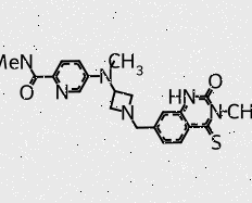 CNC(=O)c1ccc(N(C)C2CN(Cc3ccc4c(=S)n(C)c(=O)[nH]c4c3)C2)cn1